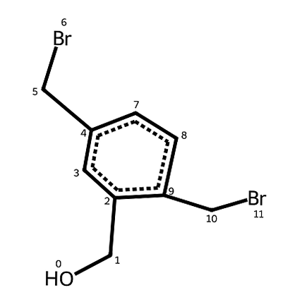 OCc1cc(CBr)ccc1CBr